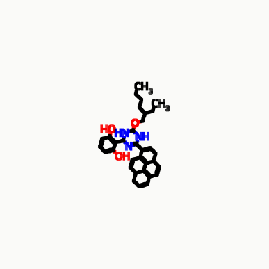 CCCCC(CC)COC1NC(C2=CCC3C=CC4=C5C3=C2C=CC5CC=C4)=NC(c2c(O)cccc2O)N1